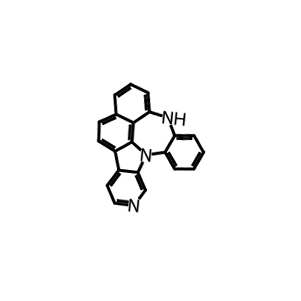 c1cc2ccc3c4ccncc4n4c5ccccc5[nH]c(c1)c2c34